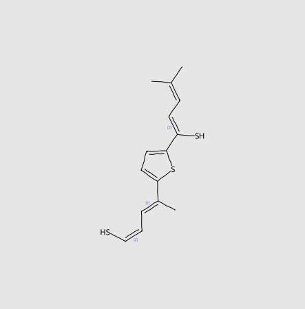 CC(C)=C/C=C(\S)c1ccc(/C(C)=C/C=C\S)s1